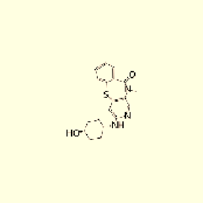 CN1C(=O)c2ccccc2Sc2cc(N[C@H]3CC[C@H](O)CC3)ncc21